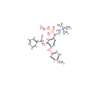 Cc1ccc(Oc2ccc(C(CNC(C)(C)C)S(=O)(=O)OC=O)cc2OC(=O)c2ccccc2)cc1